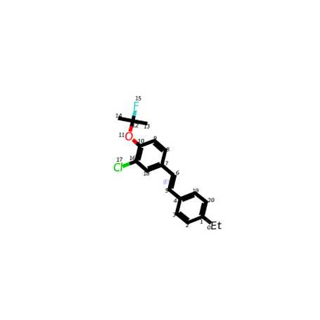 CCc1ccc(/C=C/c2ccc(OC(C)(C)F)c(Cl)c2)cc1